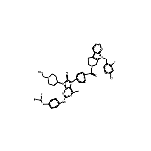 Cc1nc(Nc2ccc(OC(F)F)cc2)nc2c1n(-c1ccc(C(=O)N3CCc4c(n(Cc5ccc(Cl)cc5F)c5ncccc45)C3)cc1)c(=O)n2C1CCN(CC(C)(C)C)CC1